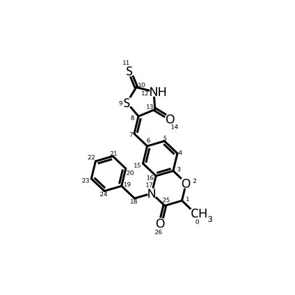 CC1Oc2ccc(C=C3SC(=S)NC3=O)cc2N(Cc2ccccc2)C1=O